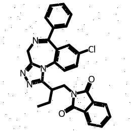 CCC(CN1C(=O)c2ccccc2C1=O)c1nnc2n1-c1ccc(Cl)cc1C(c1ccccc1)=NC2